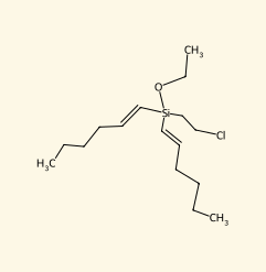 CCCCC=C[Si](C=CCCCC)(CCCl)OCC